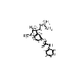 CN(C)CC[C@]1(C)CN(C)c2ccc(OC(=O)Nc3ccccc3)cc21